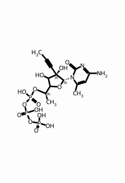 CC#C[C@@]1(O)C(O)C([C@@H](C)OP(=O)(O)OP(=O)(O)OP(=O)(O)O)O[C@H]1n1c(C)cc(N)nc1=O